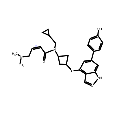 CN(C)C/C=C\C(=O)N(CC1CC1)C1CC(Oc2cc(-c3ccc(O)cc3)cc3[nH]ncc23)C1